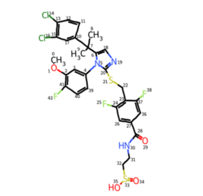 COc1cc(-n2c(C(C)(C)c3ccc(Cl)c(Cl)c3)cnc2SCc2c(F)cc(C(=O)NCCS(=O)O)cc2F)ccc1F